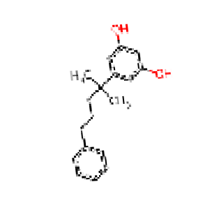 CC(C)(CCCc1ccccc1)c1cc(O)cc(O)c1